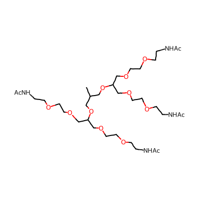 CC(=O)NCCOCCOCC(COCCOCCNC(C)=O)OCC(C)COC(COCCOCCNC(C)=O)COCCOCCNC(C)=O